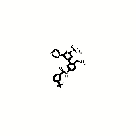 CN(C)c1cc(-c2cc(NC(=O)c3cccc(C(F)(F)F)c3)ccc2CN)cc(N2CCOCC2)n1